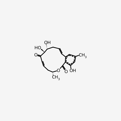 Cc1cc(O)c2c(c1)/C=C/C[C@@H](O)[C@H](O)C(=O)/C=C\C[C@@H](C)OC2=O